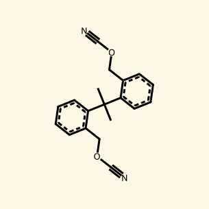 CC(C)(c1ccccc1COC#N)c1ccccc1COC#N